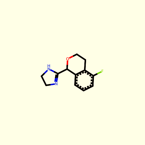 Fc1cccc2c1CCOC2C1=NCCN1